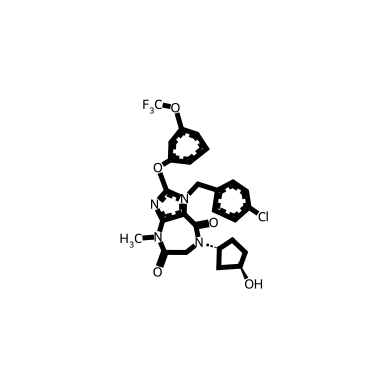 CN1C(=O)CN([C@@H]2CC[C@@H](O)C2)C(=O)c2c1nc(Oc1cccc(OC(F)(F)F)c1)n2Cc1ccc(Cl)cc1